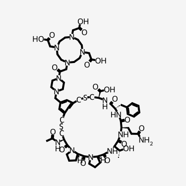 CC(=O)N[C@H]1CSCc2cc(cc(CN3CCN(C(=O)CN4CCN(CC(=O)O)CCN(CC(=O)O)CCN(CC(=O)O)CC4)CC3)c2)CSC[C@@H](C(=O)O)NC(=O)[C@H](Cc2ccccc2)NC(=O)[C@@H](CCC(N)=O)NC(=O)[C@H]([C@@H](C)O)NC(=O)[C@@H]2CCCN2C(=O)[C@@H]2CCCN2C1=O